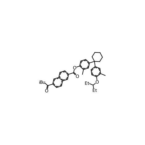 CCC(CC)Oc1ccc(C2(c3ccc(OC(=O)c4ccc5cc(C(=O)C(C)CC)ccc5c4)c(C)c3)CCCCC2)cc1C